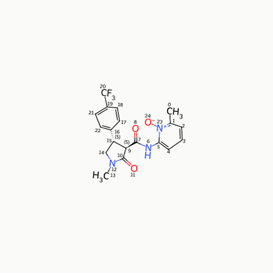 Cc1cccc(NC(=O)[C@H]2C(=O)N(C)C[C@@H]2c2ccc(C(F)(F)F)cc2)[n+]1[O-]